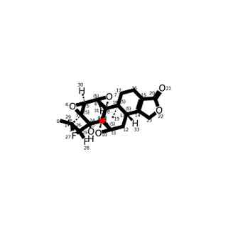 CC(C)[C@]12O[C@H]1[C@@H]1O[C@]13[C@]1(O[C@H]1C[C@H]1C4=C(CC[C@@]13C)C(=O)OC4)[C@@]2(O)C(F)(F)F